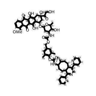 COc1cccc2c1C(=O)c1c(O)c3c(c(O)c1C2=O)C[C@@](O)(C(=O)CO)C[C@@H]3OC1CC(NC(=O)OCc2cc(C)c(OC(=O)NC3CCC4C(c5ccccn5)=NN=C(c5ccccn5)C4CCC3N)c(C)c2)C(O)C(C)O1